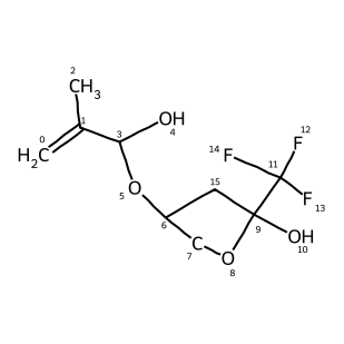 C=C(C)C(O)OC1COC(O)(C(F)(F)F)C1